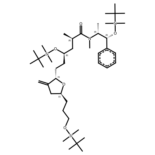 C=C1C[C@H](CCCO[Si](C)(C)C(C)(C)C)O[C@H]1CC[C@H](C[C@@H](C)C(=O)N(C)[C@H](C)[C@H](O[Si](C)(C)C(C)(C)C)c1ccccc1)O[Si](C)(C)C(C)(C)C